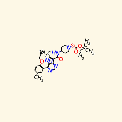 Cc1ccc(OCC2CC2)c(-c2ncnc3c(C(=O)NC4CCN(OC(=O)OC(C)(C)C)CC4)c(C)[nH]c23)c1